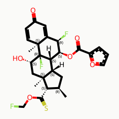 C[C@@H]1C[C@H]2[C@H]3[C@H](OC(=O)c4ccco4)[C@H](F)C4=CC(=O)C=C[C@]4(C)[C@@]3(F)[C@@H](O)C[C@]2(C)[C@H]1C(=S)OCF